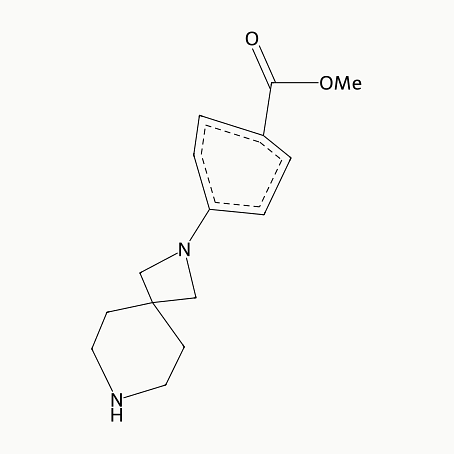 COC(=O)c1ccc(N2CC3(CCNCC3)C2)cc1